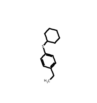 CCc1ccc(SC2CCCCC2)cc1